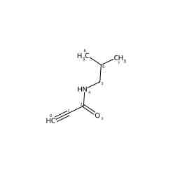 C#CC(=O)NCC(C)C